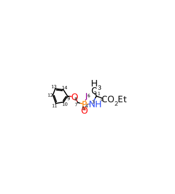 CCOC(=O)C(C)NP(=O)(I)COc1ccccc1